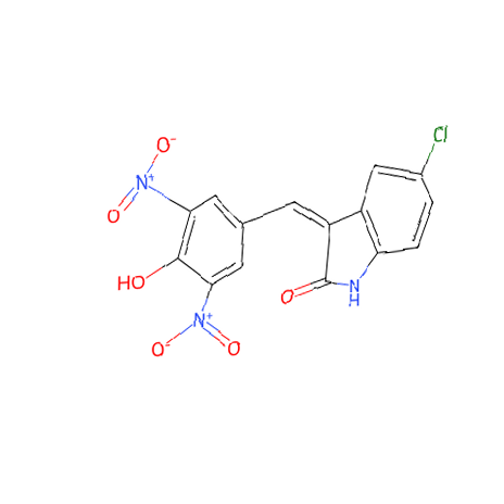 O=C1Nc2ccc(Cl)cc2C1=Cc1cc([N+](=O)[O-])c(O)c([N+](=O)[O-])c1